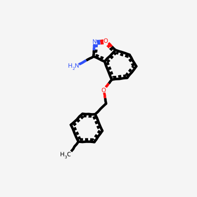 Cc1ccc(COc2cccc3onc(N)c23)cc1